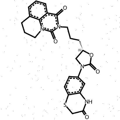 O=C1CSc2ccc(N3C[C@H](CCCn4c(=O)c5cccc6c5n(c4=O)CCC6)OC3=O)cc2N1